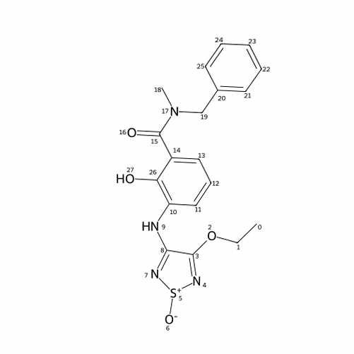 CCOc1n[s+]([O-])nc1Nc1cccc(C(=O)N(C)Cc2ccccc2)c1O